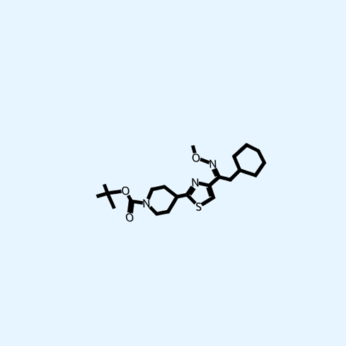 CON=C(CC1CCCCC1)c1csc(C2CCN(C(=O)OC(C)(C)C)CC2)n1